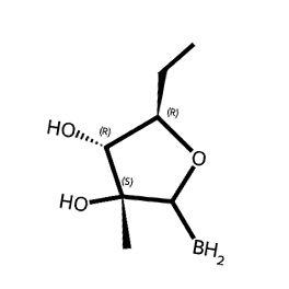 BC1O[C@H](CC)[C@@H](O)[C@@]1(C)O